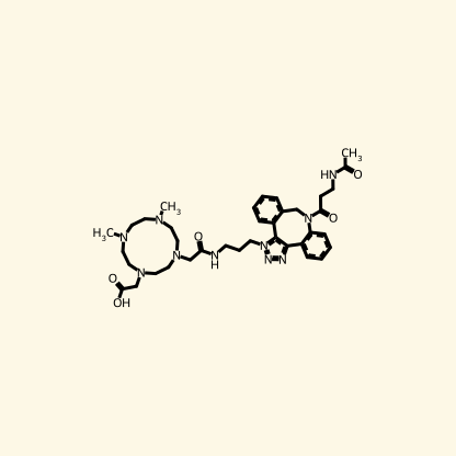 CC(=O)NCCC(=O)N1Cc2ccccc2-c2c(nnn2CCCNC(=O)CN2CCN(C)CCN(C)CCN(CC(=O)O)CC2)-c2ccccc21